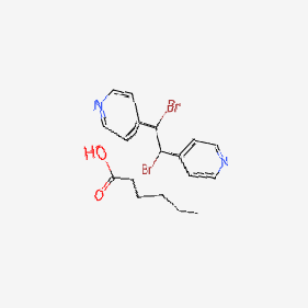 BrC(c1ccncc1)C(Br)c1ccncc1.CCCCCC(=O)O